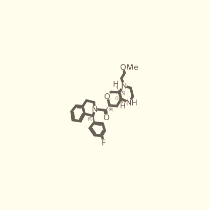 COCCN1CCN[C@H]2C[C@H](C(=O)N3CCc4ccccc4[C@@H]3c3ccc(F)cc3)OC[C@H]21